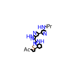 CC(=O)c1ccc(-c2cccc3[nH]c(-c4n[nH]c5ncc(-c6cncc(NC(C)C)c6)cc45)nc23)s1